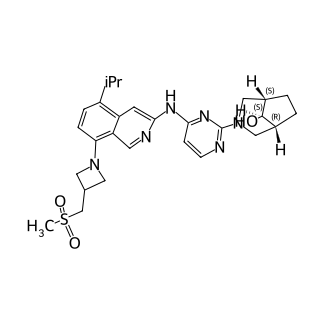 CC(C)c1ccc(N2CC(CS(C)(=O)=O)C2)c2cnc(Nc3ccnc(N4C[C@H]5CC[C@@H](C4)[C@@H]5O)n3)cc12